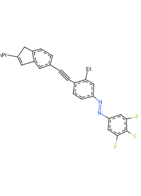 CCCC1=Cc2cc(C#Cc3ccc(N=Nc4cc(F)c(F)c(F)c4)cc3CC)ccc2C1